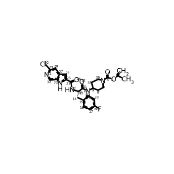 C=C(C)OC(=O)N1CCC(NC(=O)[C@H](Cc2ccc(F)cc2)NC(=O)c2cc3cc(Cl)ncc3[nH]2)CC1